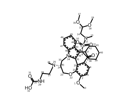 COc1ccc(C(=O)NS(=O)(=O)N(C)CC(OC)OC)c2c1OC[C@H](N(C)CCNC(=O)O)Cn1c-2c(C2CCCCC2)c2ccccc21